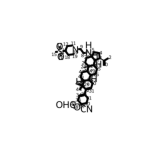 C=C(C)[C@@H]1CC[C@]2(NCCN3CCC(S(C)(=O)=O)CC3)CC[C@]3(C)[C@H](CC[C@@H]4[C@@]5(C)CC=C(C6=CCC(C#N)(OC=O)CC6)C(C)(C)[C@@H]5CC[C@]43C)[C@@H]12